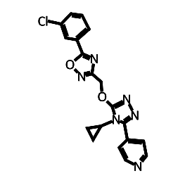 Clc1cccc(-c2nc(COc3nnc(-c4ccncc4)n3C3CC3)no2)c1